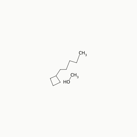 CCCCCC1CCC1.CO